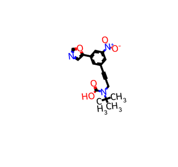 CC(C)(C)N(CC#Cc1cc(-c2cnco2)cc([N+](=O)[O-])c1)C(=O)O